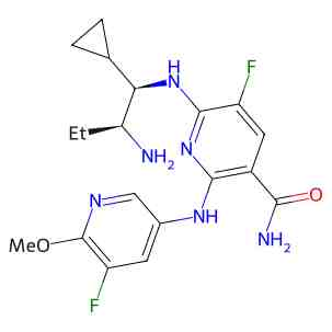 CC[C@H](N)[C@H](Nc1nc(Nc2cnc(OC)c(F)c2)c(C(N)=O)cc1F)C1CC1